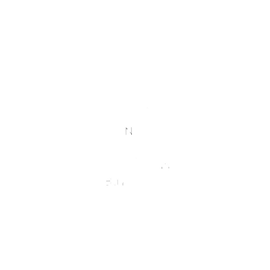 CC[C@@H](C)C(=O)N1CCCC1